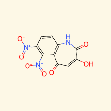 O=c1[nH]c2ccc([N+](=O)[O-])c([N+](=O)[O-])c2c(=O)cc1O